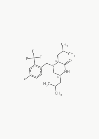 CC(C)C[C@H]1CN(Cc2ccc(F)cc2C(F)(F)F)[C@@H](CC(C)C)C(=O)N1